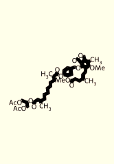 COC(=O)CC/C(C)=C/Cc1c(OC)c(C)c2c(c1OCc1ccc(OC(=O)C(C)CCCCCCCC(C)CC(=O)OC(COC(C)=O)COC(C)=O)cc1)C(=O)OC2